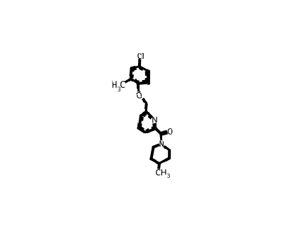 Cc1cc(Cl)ccc1OCc1cccc(C(=O)N2CCC(C)CC2)n1